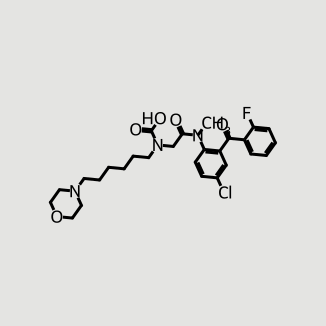 CN(C(=O)CN(CCCCCCN1CCOCC1)C(=O)O)c1ccc(Cl)cc1C(=O)c1ccccc1F